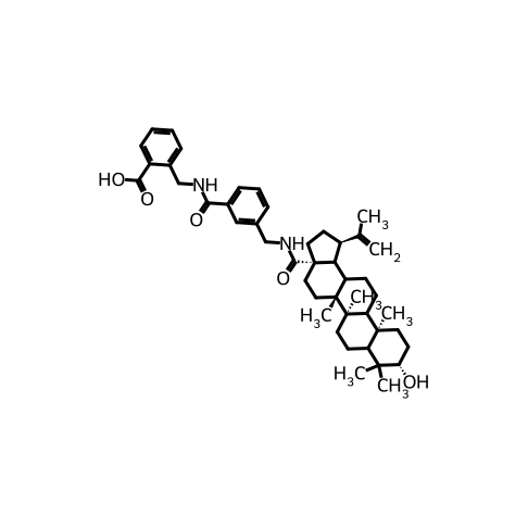 C=C(C)[C@@H]1CC[C@]2(C(=O)NCc3cccc(C(=O)NCc4ccccc4C(=O)O)c3)CC[C@]3(C)C(CCC4[C@@]5(C)CC[C@H](O)C(C)(C)C5CC[C@]43C)C12